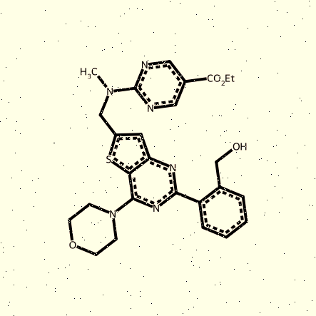 CCOC(=O)c1cnc(N(C)Cc2cc3nc(-c4ccccc4CO)nc(N4CCOCC4)c3s2)nc1